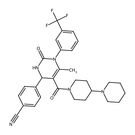 CC1=C(C(=O)N2CCC(N3CCCCC3)CC2)C(c2ccc(C#N)cc2)NC(=O)N1c1cccc(C(F)(F)F)c1